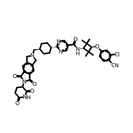 CC1(C)[C@H](NC(=O)c2cnc([C@H]3CC[C@H](CN4Cc5cc6c(cc5C4)C(=O)N(C4CCC(=O)NC4=O)C6=O)CC3)nc2)C(C)(C)[C@H]1Oc1ccc(C#N)c(Cl)c1